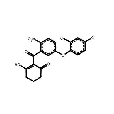 O=C1CCCC(O)=C1C(=O)c1cc(Oc2ccc(Cl)cc2Cl)ccc1[N+](=O)[O-]